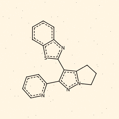 c1ccc(-c2nn3c(c2-c2nc4ccccc4s2)CCC3)nc1